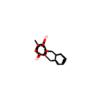 Cc1ccc2c(c1)C1C3=C(C(=O)C=CC3=O)C2C2=CC=CCC21